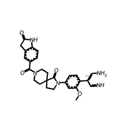 COc1cc(N2CCC3(CCN(C(=O)c4ccc5c(c4)CC(=O)N5)CC3)C2=O)ccc1/C(C=N)=C/N